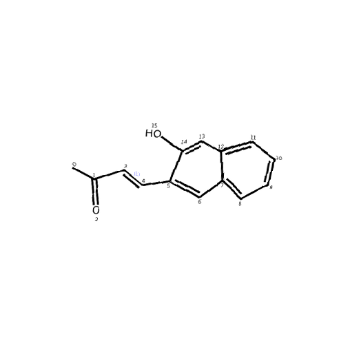 CC(=O)/C=C/c1cc2ccccc2cc1O